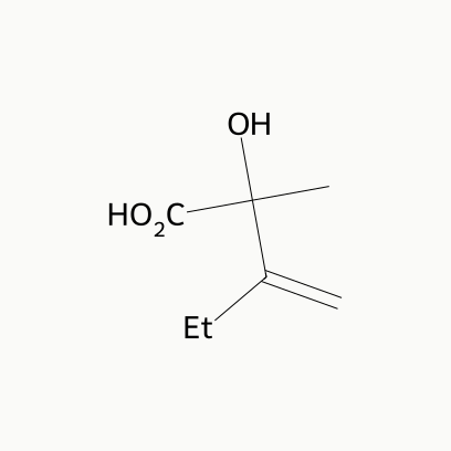 C=C(CC)C(C)(O)C(=O)O